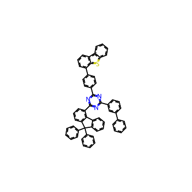 c1ccc(-c2cccc(-c3nc(-c4ccc(-c5cccc6c5sc5ccccc56)cc4)nc(-c4cccc5c4-c4ccccc4C5(c4ccccc4)c4ccccc4)n3)c2)cc1